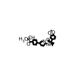 CN(C)C(=O)c1ccc(-c2ccc(NC(=O)C3(c4ccc5c(c4)OCO5)CC3)nc2)cc1